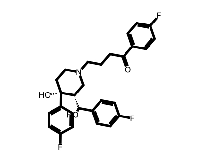 O=C(CCCN1CC[C@](O)(c2ccc(F)cc2)[C@@H](C(O)c2ccc(F)cc2)C1)c1ccc(F)cc1